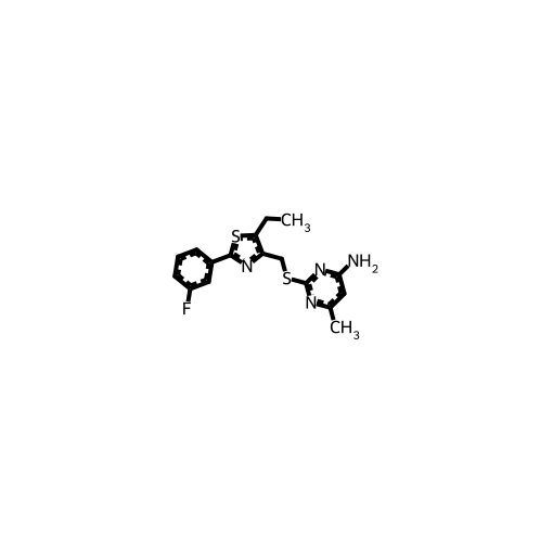 CCc1sc(-c2cccc(F)c2)nc1CSc1nc(C)cc(N)n1